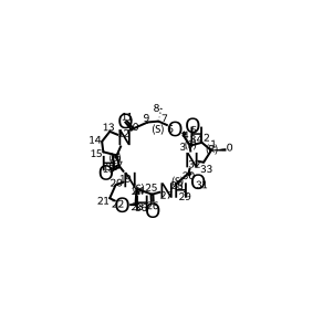 C[C@@H]1C[C@H]2C(=O)O[C@@H](C)CC(=O)N3CCC[C@H]3C(=O)N3CCOC[C@H]3C(=O)N[C@@H](C)C(=O)N2C1